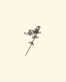 CCCCCCCCCCCCCCCC(=O)NCCCCCC(=O)NCCCC[C@H](NC(=O)C[C@H](Cc1ccccc1)NC=O)C(=O)N[C@H](CCCNC(=N)N)C(N)=O